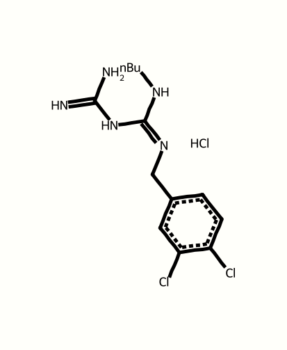 CCCCNC(=NCc1ccc(Cl)c(Cl)c1)NC(=N)N.Cl